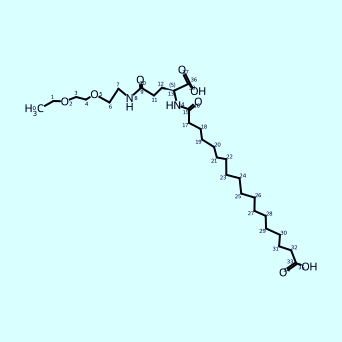 CCOCCOCCNC(=O)CC[C@H](NC(=O)CCCCCCCCCCCCCCCCC(=O)O)C(=O)O